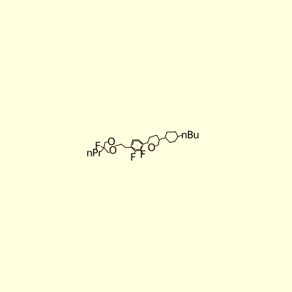 CCCCC1CCC(C2CCC(c3ccc(CCC4OCC(F)(CCC)CO4)c(F)c3F)OC2)CC1